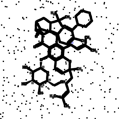 CC(C)=CCCC1(C)C=Cc2c(c(CC=C(C)C)c3c(c2O[C@@H]2O[C@H](CO)[C@@H](O)[C@H](O)[C@H]2O)C(=O)C2=CC4CC5C(C)(C)OC(C/C=C(/C)C(=O)N6CCCCC6)(C4=O)C25O3)O1